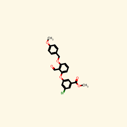 COC(=O)c1cc(Br)cc(Oc2cccc(OCc3ccc(OC)cc3)c2C=O)c1